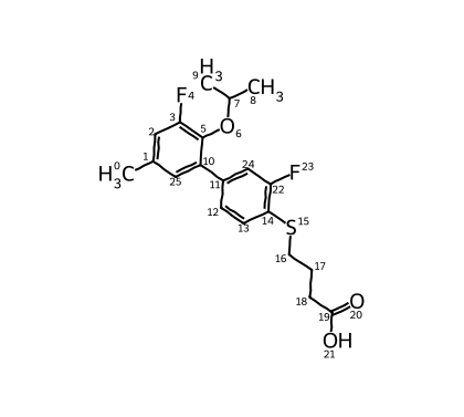 Cc1cc(F)c(OC(C)C)c(-c2ccc(SCCCC(=O)O)c(F)c2)c1